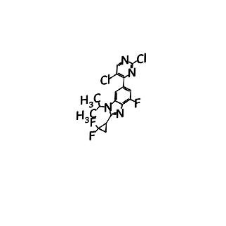 CC(C)n1c(C2CC2(F)F)nc2c(F)cc(-c3nc(Cl)ncc3Cl)cc21